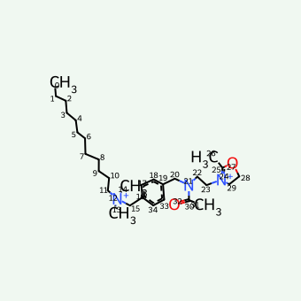 CCCCCCCCCCCC[N+](C)(C)Cc1ccc(CN(CC[N+]2=C(C)OCC2)C(C)=O)cc1